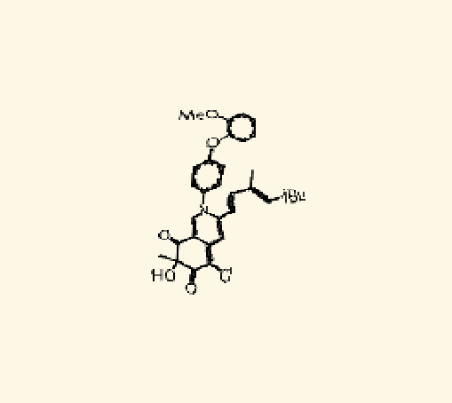 CC[C@H](C)/C=C(C)/C=C/C1=CC2=C(Cl)C(=O)[C@](C)(O)C(=O)C2=CN1c1ccc(Oc2ccccc2OC)cc1